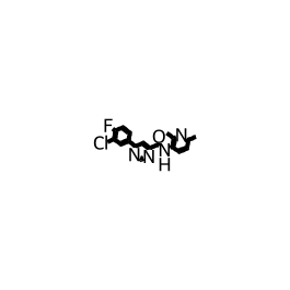 Cc1ccc(NC(=O)c2cc(-c3ccc(F)c(Cl)c3)ncn2)c(C)n1